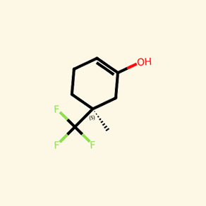 C[C@]1(C(F)(F)F)CCC=C(O)C1